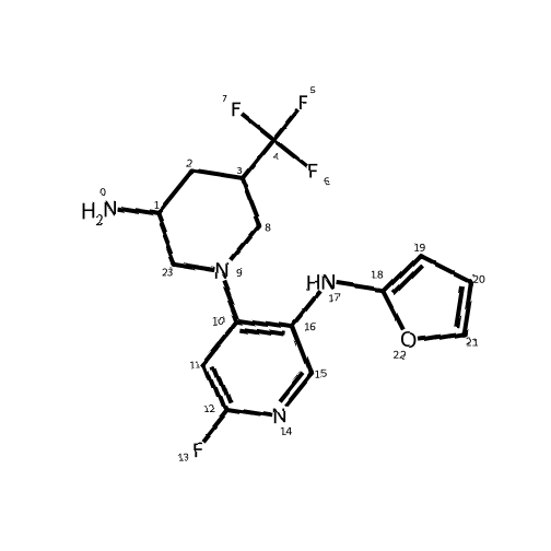 NC1CC(C(F)(F)F)CN(c2cc(F)ncc2Nc2ccco2)C1